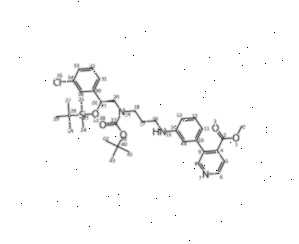 COC(=O)c1ccncc1-c1cccc(NCCCN(C[C@@H](O[Si](C)(C)C(C)(C)C)c2cccc(Cl)c2)C(=O)OC(C)(C)C)c1